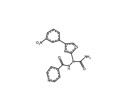 NC(=O)N(NC(=O)c1ccncc1)c1nc(-c2cccc([N+](=O)[O-])c2)cs1